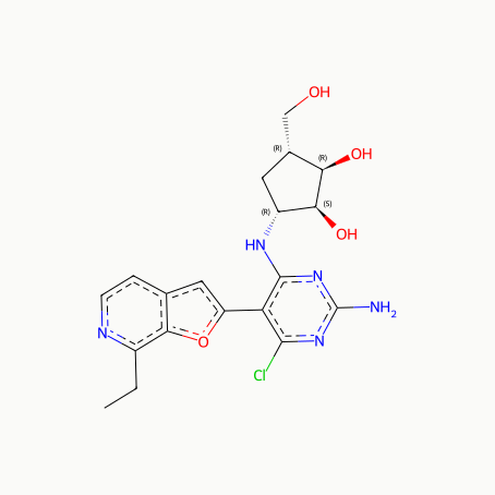 CCc1nccc2cc(-c3c(Cl)nc(N)nc3N[C@@H]3C[C@H](CO)[C@@H](O)[C@H]3O)oc12